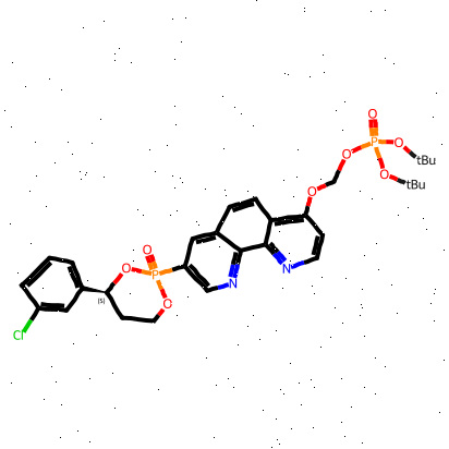 CC(C)(C)OP(=O)(OCOc1ccnc2c1ccc1cc(P3(=O)OCC[C@@H](c4cccc(Cl)c4)O3)cnc12)OC(C)(C)C